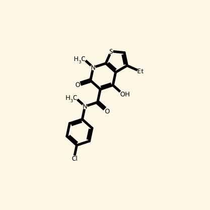 CCc1csc2c1c(O)c(C(=O)N(C)c1ccc(Cl)cc1)c(=O)n2C